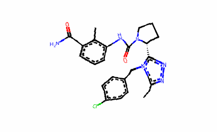 Cc1c(NC(=O)N2CCC[C@@H]2c2nnc(C)n2Cc2ccc(Cl)cc2)cccc1C(N)=O